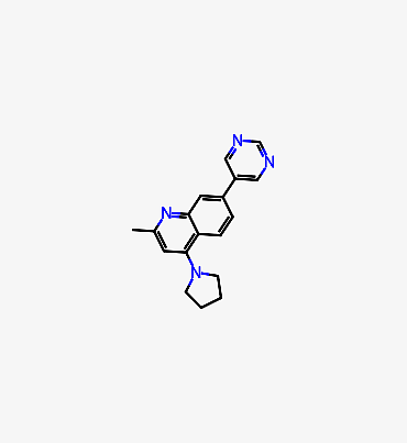 Cc1cc(N2CCCC2)c2ccc(-c3cncnc3)cc2n1